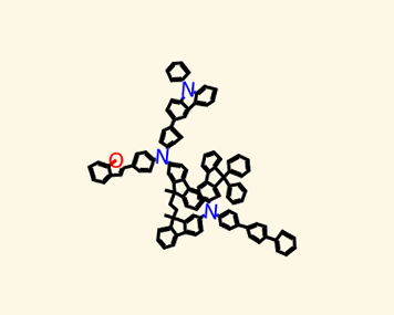 CC1(CCC2(C)c3ccccc3-c3ccc(N(c4ccc(-c5ccc(-c6ccccc6)cc5)cc4)c4ccc5c(c4)C(c4ccccc4)(c4ccccc4)c4ccccc4-5)cc32)c2ccccc2-c2ccc(N(c3ccc(-c4ccc5c(c4)c4ccccc4n5-c4ccccc4)cc3)c3ccc(-c4cc5ccccc5o4)cc3)cc21